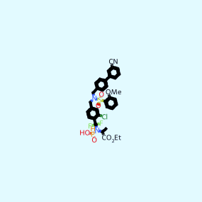 CCOC(=O)C(C)N([PH](=O)O)C(F)(F)c1ccc(CN(Cc2ccc(-c3cccc(C#N)c3)cc2)S(=O)(=O)c2ccccc2OC)cc1Cl